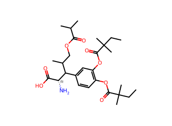 CCC(C)(C)C(=O)Oc1ccc(C(C(C)COC(=O)C(C)C)[C@H](N)C(=O)O)cc1OC(=O)C(C)(C)CC